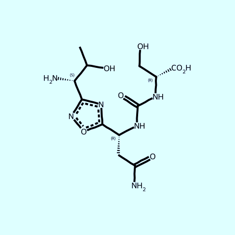 CC(O)[C@@H](N)c1noc([C@@H](CC(N)=O)NC(=O)N[C@H](CO)C(=O)O)n1